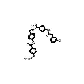 CCCCCCCOc1ccc(C(=O)Oc2ccc(C[C@H](NC(=O)c3ccc(NC(=O)Cc4cccc(Cl)c4)cc3)C(C)=O)cc2)cc1